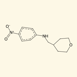 O=[N+]([O-])c1ccc(NCC2CCOCC2)cc1